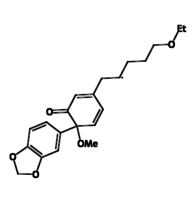 CCOCCC[CH]CC1=CC(=O)C(OC)(c2ccc3c(c2)OCO3)C=C1